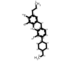 CCCc1cc2c(c(F)c1F)Oc1c(ccc(C3CCC(CC)CC3)c1F)C2